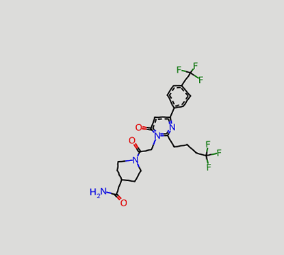 NC(=O)C1CCN(C(=O)Cn2c(CCCC(F)(F)F)nc(-c3ccc(C(F)(F)F)cc3)cc2=O)CC1